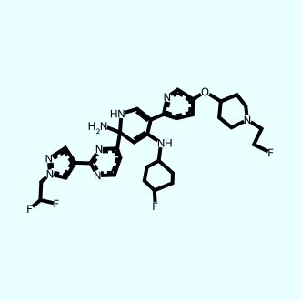 NC1(c2ccnc(-c3cnn(CC(F)F)c3)n2)C=C(NC2CCC(F)CC2)C(c2ccc(OC3CCN(CCF)CC3)cn2)=CN1